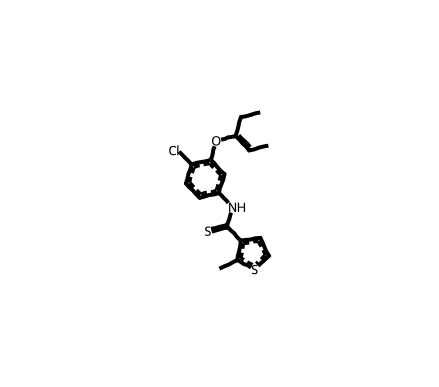 CC=C(CC)Oc1cc(NC(=S)c2ccsc2C)ccc1Cl